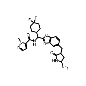 Cn1nccc1C(=O)NC(c1nc2cc(CC3CC(C(F)(F)F)NC3=O)ccc2o1)C1CCC(F)(F)CC1